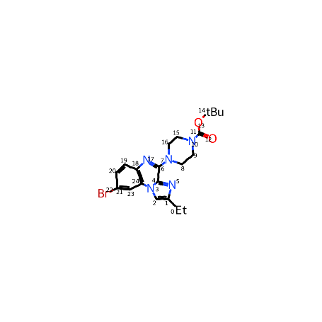 CCc1cn2c(n1)c(N1CCN(C(=O)OC(C)(C)C)CC1)nc1ccc(Br)cc12